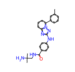 Cc1cccc(-c2cccc3nc(Nc4ccc(C(=O)NCC(C)(C)N)cc4)nn23)c1